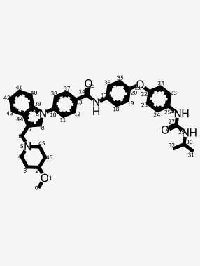 COC1CCN(Cc2cn(-c3ccc(C(=O)Nc4ccc(Oc5ccc(NC(=O)NC(C)C)cc5)cc4)cc3)c3ccccc23)CC1